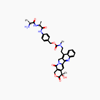 CC[C@@]1(O)C(=O)OCc2c1cc1n(c2=O)Cc2c-1nc1ccccc1c2CCN(C(=O)OCc1ccc(NC(=O)[C@H](C)NC(=O)[C@@H](N)C(C)C)cc1)C(C)C